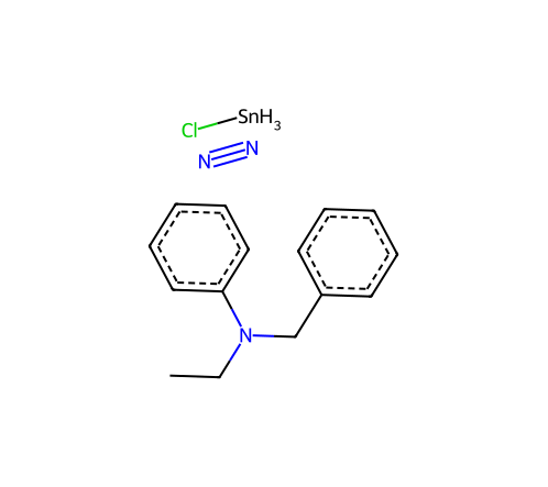 CCN(Cc1ccccc1)c1ccccc1.N#N.[Cl][SnH3]